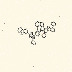 c1ccc(-c2nc(-c3cc(-c4ccccc4)c(-n4c5ccccc5c5c6oc7c(-c8ccccc8)cccc7c6ccc54)c(-c4ccccc4)c3)nc(-c3ccc4c(c3)oc3ccccc34)n2)cc1